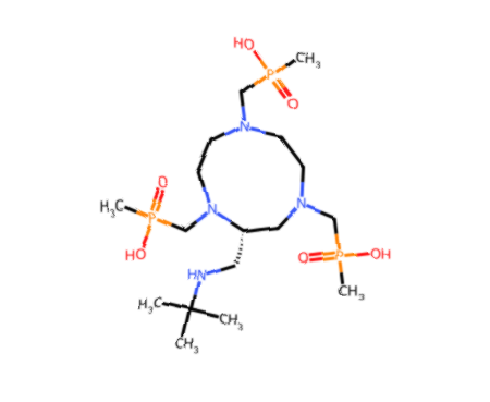 CC(C)(C)NC[C@H]1CN(CP(C)(=O)O)CCN(CP(C)(=O)O)CCN1CP(C)(=O)O